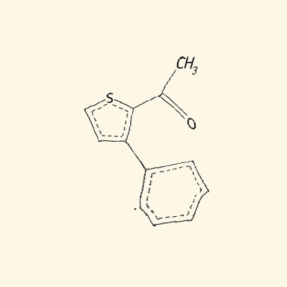 CC(=O)c1sccc1-c1[c]cccc1